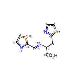 O=C(O)C(Cc1nccs1)/N=C/c1nccs1